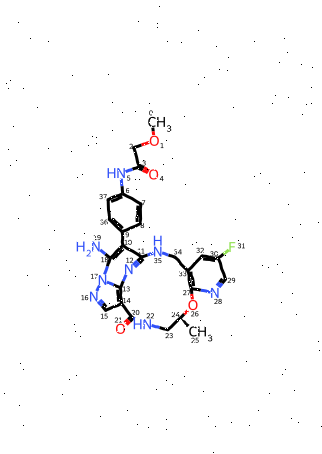 COCC(=O)Nc1ccc(-c2c3nc4c(cnn4c2N)C(=O)NC[C@H](C)Oc2ncc(F)cc2CN3)cc1